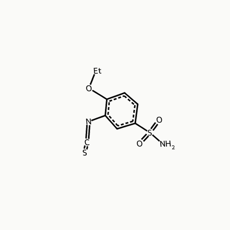 CCOc1ccc(S(N)(=O)=O)cc1N=C=S